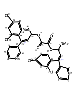 CNC(/C=C(/c1cccnc1)c1ccc(Cl)cc1Cl)OC(=O)C(=O)OC(/C=C(/c1cccnc1)c1ccc(Cl)cc1Cl)NC